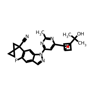 Cc1nc(N2CC3(C(C)(C)O)CC2C3)cc(-n2ncc3cc(F)c(C4(C#N)CC45CC5)cc32)n1